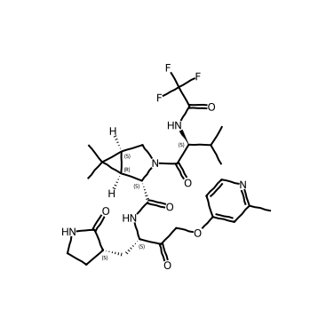 Cc1cc(OCC(=O)[C@H](C[C@@H]2CCNC2=O)NC(=O)[C@@H]2[C@@H]3[C@H](CN2C(=O)[C@@H](NC(=O)C(F)(F)F)C(C)C)C3(C)C)ccn1